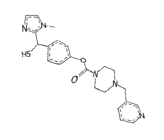 Cn1ccnc1C(S)c1ccc(OC(=O)N2CCN(Cc3cccnc3)CC2)cc1